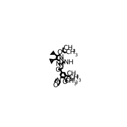 CCC(CC)Oc1nn2c(=N)n(CC(=O)c3cc(N4CCOCC4)c(OC)c(C(C)(C)C)c3)nc2c(C2CC2)c1C1CC1